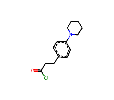 O=C(Cl)CCc1ccc(N2CCCCC2)cc1